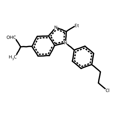 CCc1nc2cc(C(C)C=O)ccc2n1-c1ccc(CCCl)cc1